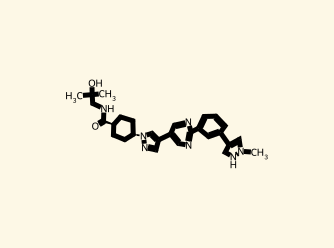 CN1C=C(c2cccc(-c3ncc(-c4cnn([C@H]5CC[C@H](C(=O)NCC(C)(C)O)CC5)c4)cn3)c2)CN1